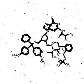 COc1ccc(C(OCC2OC(n3cnc4c(=O)[nH]c(NC(=O)C(C)C)nc43)CC2OP(OCCc2ccccc2SSC(C)(C)C)N(C(C)C)C(C)C)(c2ccccc2)c2ccc(OC)cc2)cc1